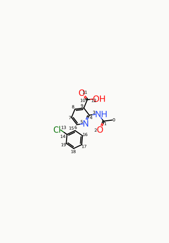 CC(=O)Nc1ncccc1C(=O)O.Clc1ccccc1